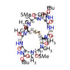 CSC[C@H]1C(=O)N(C)C[C@H](NC(=O)OC(C)(C)C)C(=O)NCC(=O)N(C)[C@H]2CSSC[C@@H](C(=O)N1C)N(C)C(=O)CNC(=O)[C@H](NC(=O)OC(C)(C)C)CN(C)C(=O)[C@H](CSC)N(C)C2=O